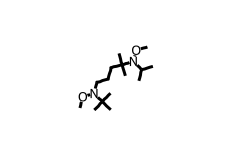 CON(CCCC(C)(C)N(OC)C(C)C)C(C)(C)C